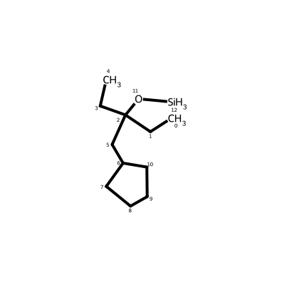 CCC(CC)(CC1CCCC1)O[SiH3]